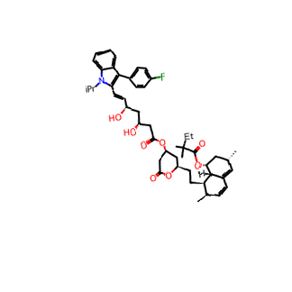 CCC(C)(C)C(=O)O[C@@H]1C[C@H](C)C=C2C=C[C@@H](C)[C@@H](CC[C@@H]3C[C@H](OC(=O)C[C@@H](O)C[C@@H](O)/C=C/c4c(-c5ccc(F)cc5)c5ccccc5n4C(C)C)CC(=O)O3)[C@@H]21